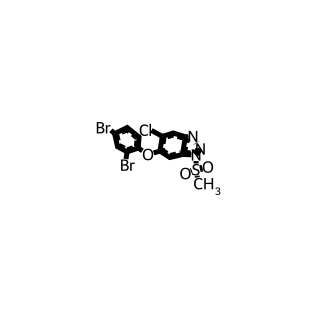 CS(=O)(=O)n1nnc2cc(Cl)c(Oc3ccc(Br)cc3Br)cc21